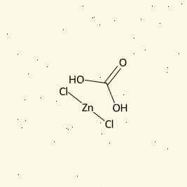 O=C(O)O.[Cl][Zn][Cl]